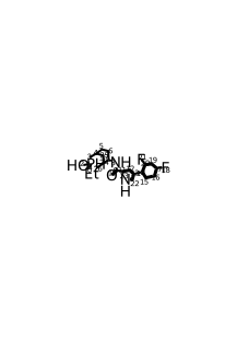 CC[PH]1(O)CC2CCC(NC(=O)c3cc(-c4ccc(F)cc4F)c[nH]3)C(C2)C1